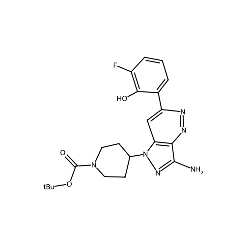 CC(C)(C)OC(=O)N1CCC(n2nc(N)c3nnc(-c4cccc(F)c4O)cc32)CC1